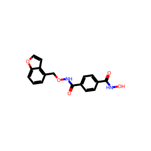 O=C(NO)c1ccc(C(=O)NOCc2cccc3occc23)cc1